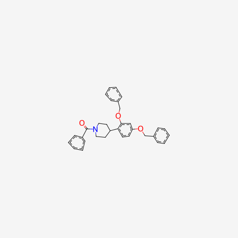 O=C(c1ccccc1)N1CCC(c2ccc(OCc3ccccc3)cc2OCc2ccccc2)CC1